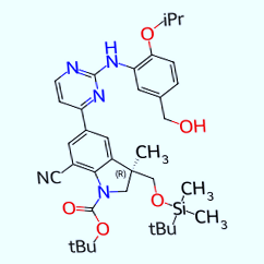 CC(C)Oc1ccc(CO)cc1Nc1nccc(-c2cc(C#N)c3c(c2)[C@@](C)(CO[Si](C)(C)C(C)(C)C)CN3C(=O)OC(C)(C)C)n1